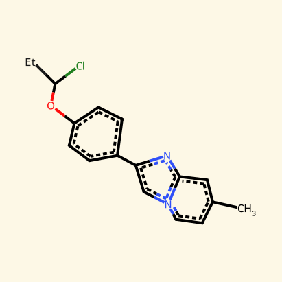 CCC(Cl)Oc1ccc(-c2cn3ccc(C)cc3n2)cc1